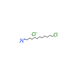 C[N+](C)(C)CCCCCCCCCCCCCl.[Cl-]